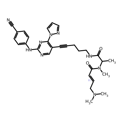 CC(C(=O)NCCCC#Cc1cnc(Nc2ccc(C#N)cc2)nc1-n1cccn1)N(C)C(=O)/C=C/CN(C)C